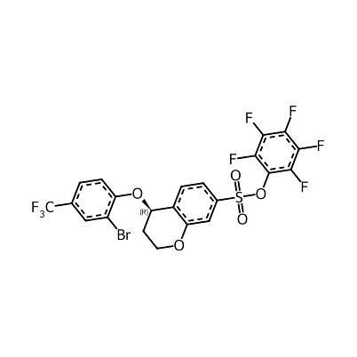 O=S(=O)(Oc1c(F)c(F)c(F)c(F)c1F)c1ccc2c(c1)OCC[C@H]2Oc1ccc(C(F)(F)F)cc1Br